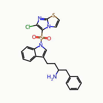 NC(CCc1cn(S(=O)(=O)c2c(Cl)nc3sccn23)c2ccccc12)Cc1ccccc1